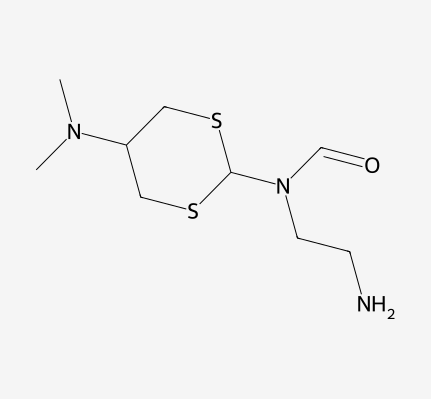 CN(C)C1CSC(N(C=O)CCN)SC1